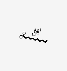 C=CCCCCCCCCC(=O)[O-].[Ag+].[Ag+].[Cl-]